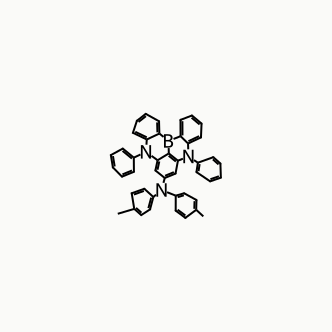 Cc1ccc(N(c2ccc(C)cc2)c2cc3c4c(c2)N(c2ccccc2)c2ccccc2B4c2ccccc2N3c2ccccc2)cc1